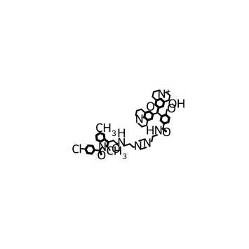 Cc1ccc2c(c1)c(CC(=O)NCCCN1CCN(CCCNC(=O)c3ccc(COO)c(C4=c5cc6c7c(c5Oc5c4cc4c8c5CCCN8CCC4)CCC[N+]=7CCC6)c3)CC1)c(C)n2C(=O)c1ccc(Cl)cc1